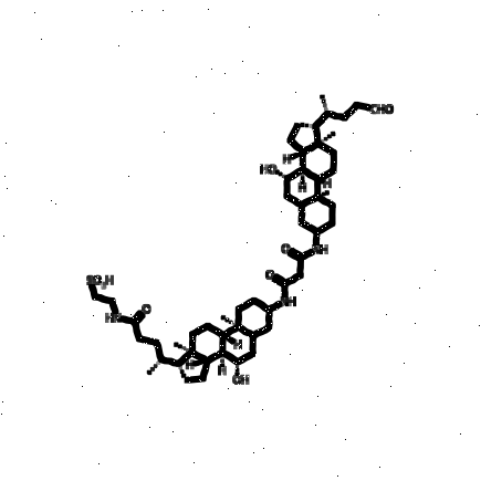 C[C@H](CCC=O)[C@H]1CC[C@H]2[C@@H]3[C@@H](O)CC4CC(NC(=O)CC(=O)NC5CC[C@@]6(C)C(C5)C[C@H](O)[C@H]5[C@@H]7CC[C@H]([C@H](C)CCC(=O)NCCS(=O)(=O)O)[C@@]7(C)CC[C@@H]56)CC[C@]4(C)[C@H]3CC[C@]12C